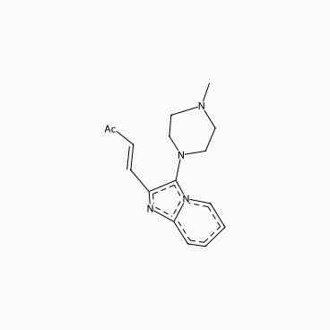 CC(=O)/C=C/c1nc2ccccn2c1N1CCN(C)CC1